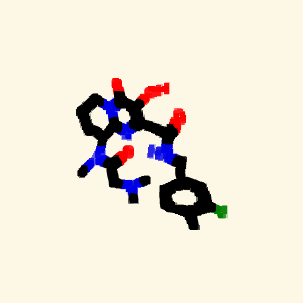 Cc1ccc(CNC(=O)c2nc3n(c(=O)c2O)CCCC3N(C)C(=O)CN(C)C)cc1Cl